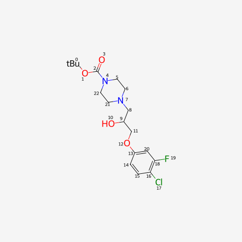 CC(C)(C)OC(=O)N1CCN(CC(O)COc2ccc(Cl)c(F)c2)CC1